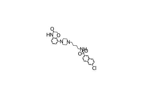 O=C1COc2c(cccc2N2CCN(CCCCNS(=O)(=O)c3ccc4cc(Cl)ccc4c3)CC2)N1